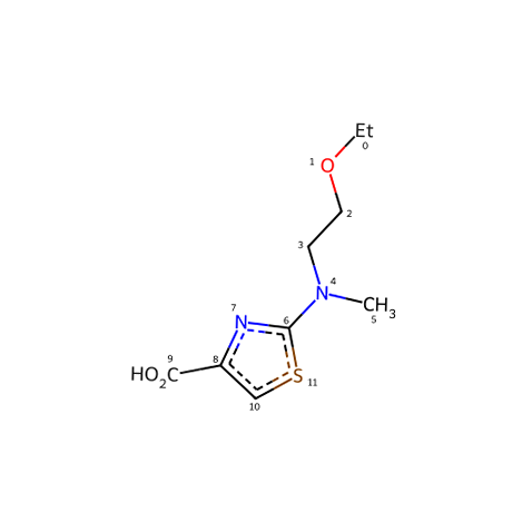 CCOCCN(C)c1nc(C(=O)O)cs1